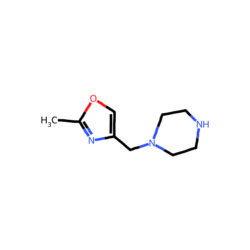 Cc1nc(CN2CCNCC2)co1